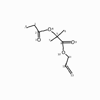 [CH2]CC(=O)OC(C)(C)C(=O)OCC=C